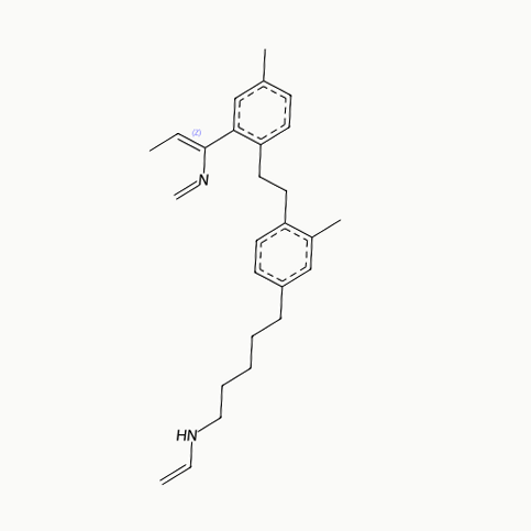 C=CNCCCCCc1ccc(CCc2ccc(C)cc2/C(=C/C)N=C)c(C)c1